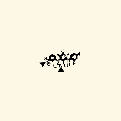 Cc1c(=O)n(C)c(Nc2ccc(I)cc2F)c2c(=O)n(C3CC3)c(=O)n(-c3cccc(S(=O)(=O)C4CC4)c3)c12